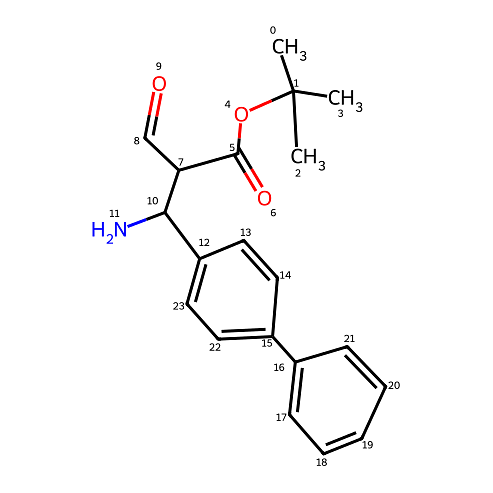 CC(C)(C)OC(=O)C(C=O)C(N)c1ccc(-c2ccccc2)cc1